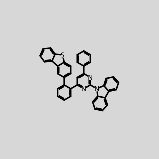 c1ccc(-c2cc(-c3ccccc3-c3ccc4sc5ccccc5c4c3)nc(-n3c4ccccc4c4ccccc43)n2)cc1